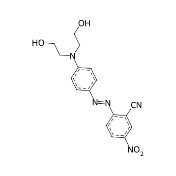 N#Cc1cc([N+](=O)[O-])ccc1N=Nc1ccc(N(CCO)CCO)cc1